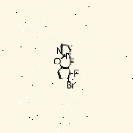 Fc1c(Br)ccc(Oc2ncccn2)c1F